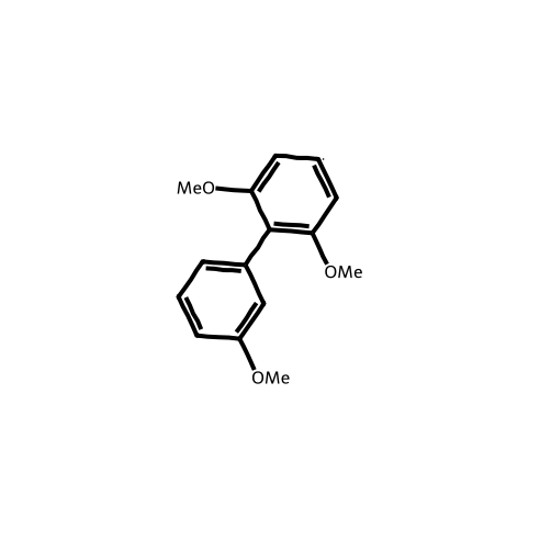 COc1cccc(-c2c(OC)c[c]cc2OC)c1